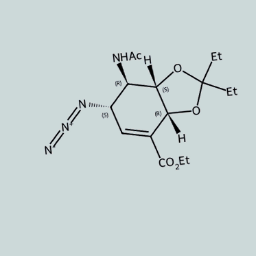 CCOC(=O)C1=C[C@H](N=[N+]=[N-])[C@@H](NC(C)=O)[C@@H]2OC(CC)(CC)O[C@H]12